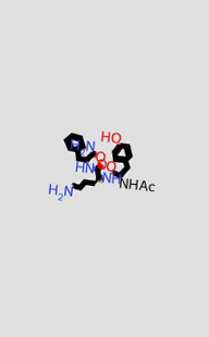 CC(=O)NC(Cc1ccc(O)cc1)C(=O)N[C@@H](CCCCN)C(=O)NC(Cc1ccccc1)C(N)=O